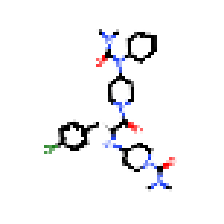 CN(C)C(=O)N1CCC(N[C@H](Cc2ccc(Cl)cc2)C(=O)N2CCC(N(C(=O)N(C)C)C3CCCCC3)CC2)CC1